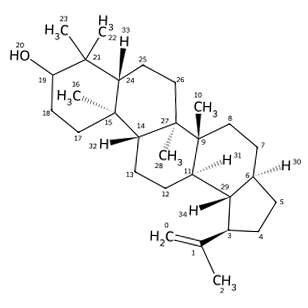 C=C(C)[C@@H]1CC[C@@H]2CC[C@]3(C)[C@H](CC[C@@H]4[C@@]5(C)CCC(O)C(C)(C)[C@@H]5CC[C@]43C)[C@H]21